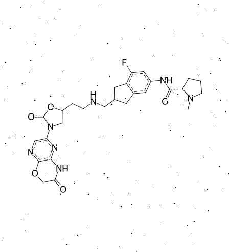 CN1CCC[C@H]1C(=O)Nc1cc(F)c2c(c1)CC(CNCCC1CN(c3cnc4c(n3)NC(=O)CO4)C(=O)O1)C2